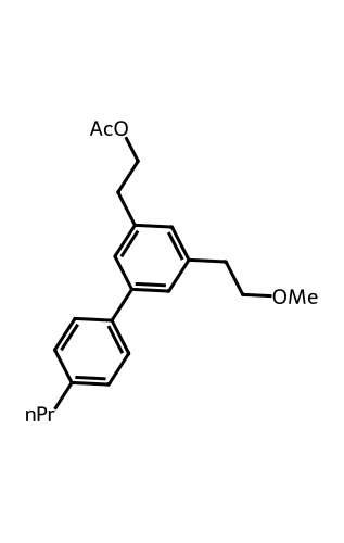 CCCc1ccc(-c2cc(CCOC)cc(CCOC(C)=O)c2)cc1